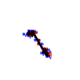 NCC1OC(OC2C(N)CC(N)C(O)C2O)C(N)C(O)C1OCCCCCCNC(=O)CCC(=O)NCCCCCCOC1C(CN)OC(OC2C(N)CC(N)C(O)C2O)C(N)C1O